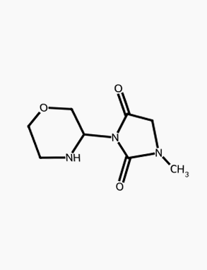 CN1CC(=O)N(C2COCCN2)C1=O